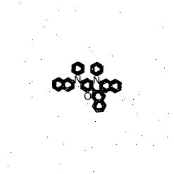 c1ccc(N(c2ccc3ccccc3c2)c2cc(N(c3ccccc3)c3ccc4ccccc4c3)c3c(c2)oc2c4ccccc4ccc23)cc1